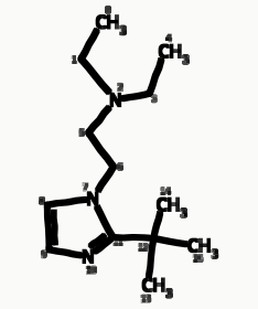 CCN(CC)CCn1ccnc1C(C)(C)C